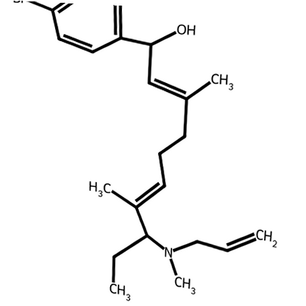 C=CCN(C)C(CC)/C(C)=C/CC/C(C)=C/C(O)c1ccc(Br)cc1